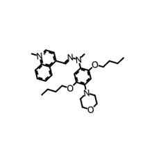 CCCCOc1cc(N(C)/N=C/c2cc[n+](C)c3ccccc23)c(OCCCC)cc1N1CCOCC1